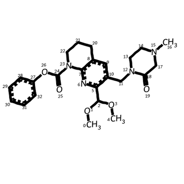 COC(OC)c1nc2c(cc1CN1CCN(C)CC1=O)CCCN2C(=O)Oc1ccccc1